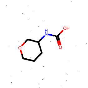 O=C(O)NC1CCCOC1